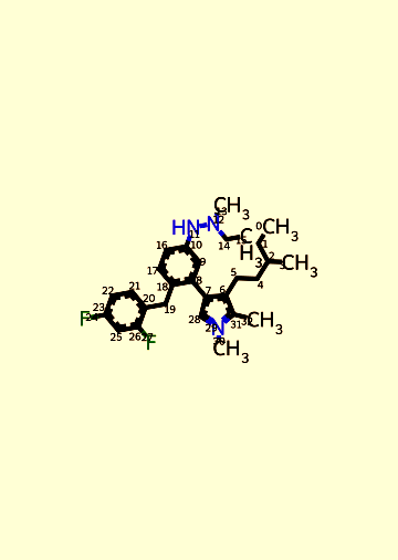 CCC(C)CCc1c(-c2cc(NN(C)CC)ccc2Cc2ccc(F)cc2F)cn(C)c1C